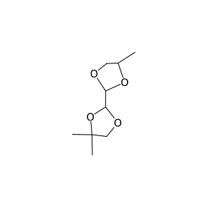 CC1COC(C2OCC(C)(C)O2)O1